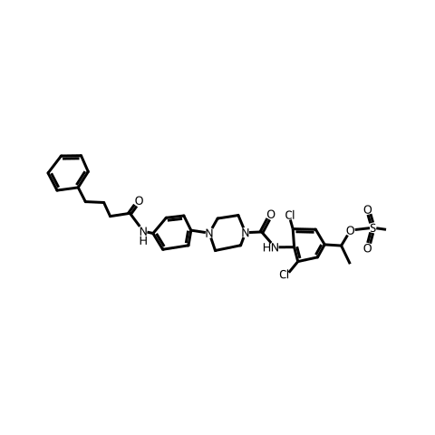 CC(OS(C)(=O)=O)c1cc(Cl)c(NC(=O)N2CCN(c3ccc(NC(=O)CCCc4ccccc4)cc3)CC2)c(Cl)c1